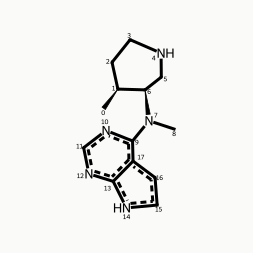 C[C@H]1CCNC[C@H]1N(C)c1ncnc2[nH]ccc12